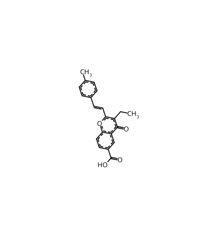 CCc1c(/C=C/c2ccc(C)cc2)oc2ccc(C(=O)O)cc2c1=O